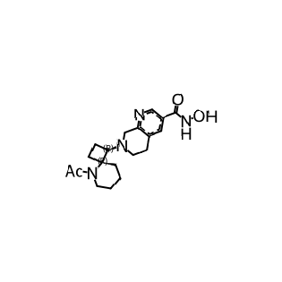 CC(=O)N1CCCC[C@]12CC[C@H]2N1CCc2cc(C(=O)NO)cnc2C1